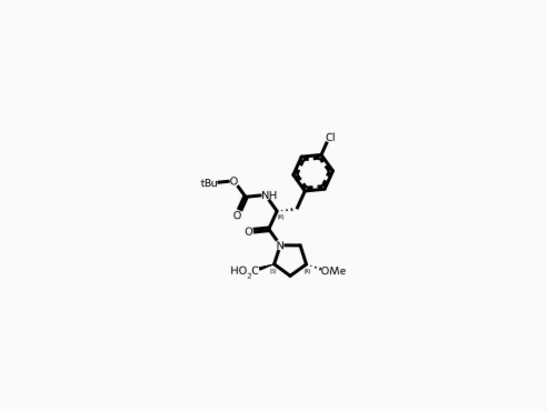 CO[C@@H]1C[C@@H](C(=O)O)N(C(=O)[C@@H](Cc2ccc(Cl)cc2)NC(=O)OC(C)(C)C)C1